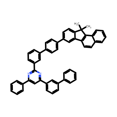 CC1(C)c2ccc(-c3ccc(-c4cccc(-c5nc(-c6ccccc6)cc(-c6cccc(-c7ccccc7)c6)n5)c4)cc3)cc2-c2ccc3ccccc3c21